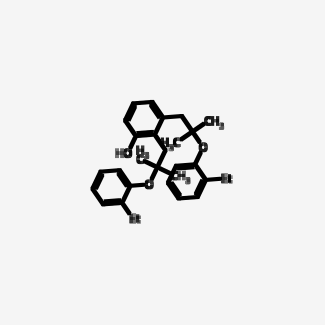 CCc1ccccc1OC(C)(C)Cc1cccc(O)c1CC(C)(C)Oc1ccccc1CC